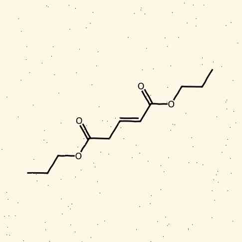 CCCOC(=O)C=CCC(=O)OCCC